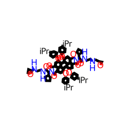 CC(C)c1ccc(Oc2cc3c4c(cc(Oc5ccc(C(C)C)cc5)c5c6c(Oc7ccc(C(C)C)cc7)cc7c8c(cc(Oc9ccc(C(C)C)cc9)c(c2c45)c86)C(=O)N(C(C(=O)NCCNC2CCO2)C2CCCC2)C7=O)C(=O)N(C(C(=O)NCCNCC2CO2)C2CCCC2)C3=O)cc1